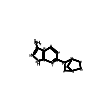 Nc1n[nH]c2nc(N3CC4CCC3C4)ccc12